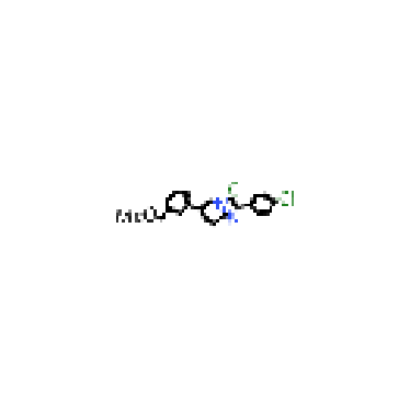 COCc1cccc(-c2ccc3nc(-c4ccc(Cl)cc4)c(Cl)n3c2)c1